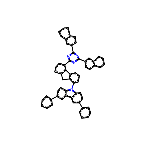 c1ccc(-c2ccc3c(c2)c2cc(-c4ccccc4)ccc2n3-c2cccc3c2Cc2cccc(-c4nc(-c5ccc6ccccc6c5)nc(-c5ccc6ccccc6c5)n4)c2-3)cc1